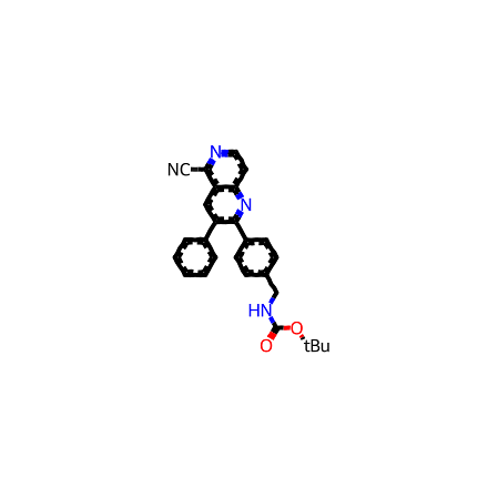 CC(C)(C)OC(=O)NCc1ccc(-c2nc3ccnc(C#N)c3cc2-c2ccccc2)cc1